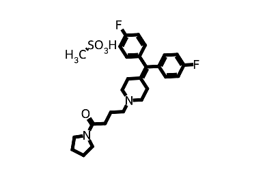 CS(=O)(=O)O.O=C(CCCN1CCC(=C(c2ccc(F)cc2)c2ccc(F)cc2)CC1)N1CCCC1